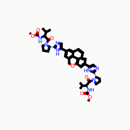 COC(=O)NC(C(=O)N1CCC[C@H]1c1ncc(-c2cc3c4c(ccc5cc(-c6cnc([C@@H]7CCCN7C(=O)[C@@H](NC(=O)OC)C(C)C)[nH]6)cc(c54)OC3)c2)[nH]1)C(C)C